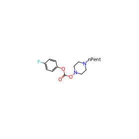 CCCCCN1CCN(OC(=O)Oc2ccc(F)cc2)CC1